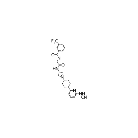 N#CNc1cccc(C2CCC(N3CC(NC(=O)CNC(=O)c4cccc(C(F)(F)F)c4)C3)CC2)n1